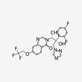 C[C@@H](n1cnc2cc(OCC(F)(F)F)ccc2c1=O)[C@](O)(Cn1cncn1)c1ccc(F)cc1F